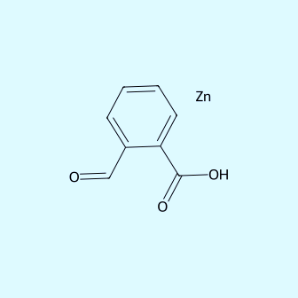 O=Cc1ccccc1C(=O)O.[Zn]